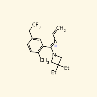 C=C/N=C(\c1cc(CC(F)(F)F)ccc1C)N1CC(CC)(CC)C1